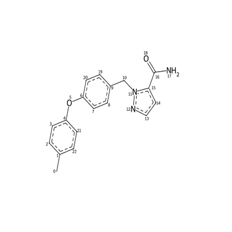 Cc1ccc(Oc2ccc(Cn3nccc3C(N)=O)cc2)cc1